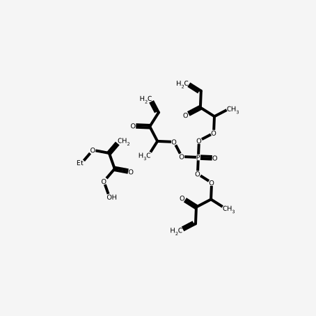 C=C(OCC)C(=O)OO.C=CC(=O)C(C)OOP(=O)(OOC(C)C(=O)C=C)OOC(C)C(=O)C=C